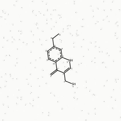 C=C1C(CS)=CNc2cc(CC)ccc21